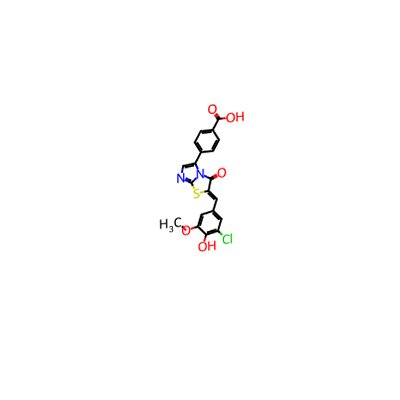 COc1cc(/C=c2\sc3ncc(-c4ccc(C(=O)O)cc4)n3c2=O)cc(Cl)c1O